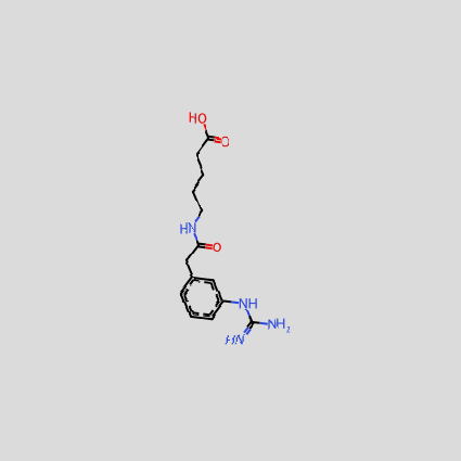 N=C(N)Nc1cccc(CC(=O)NCCCCC(=O)O)c1